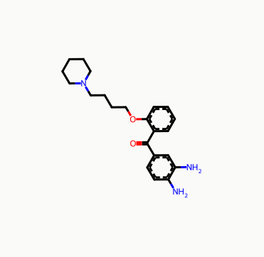 Nc1ccc(C(=O)c2ccccc2OCCCCN2CCCCC2)cc1N